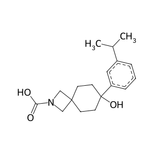 CC(C)c1cccc(C2(O)CCC3(CC2)CN(C(=O)O)C3)c1